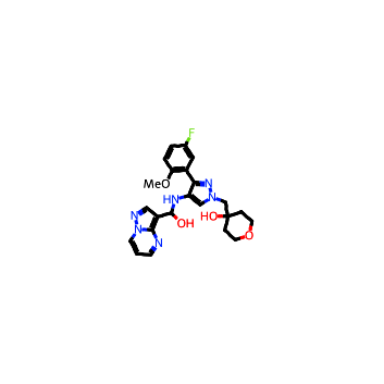 COc1ccc(F)cc1-c1nn(CC2(O)CCOCC2)cc1NC(O)c1cnn2cccnc12